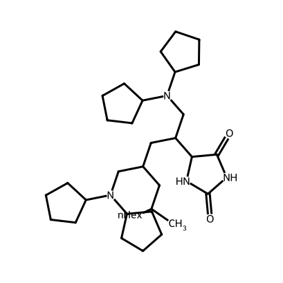 CCCCCCC(C)CC(CC(CN(C1CCCC1)C1CCCC1)C1NC(=O)NC1=O)CN(C1CCCC1)C1CCCC1